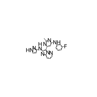 Cc1nc(Nc2cccc(F)c2)cc(-c2c(Nc3cc[nH]n3)nc3cccnn23)n1